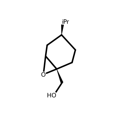 CC(C)[C@H]1CC[C@]2(CO)OC2C1